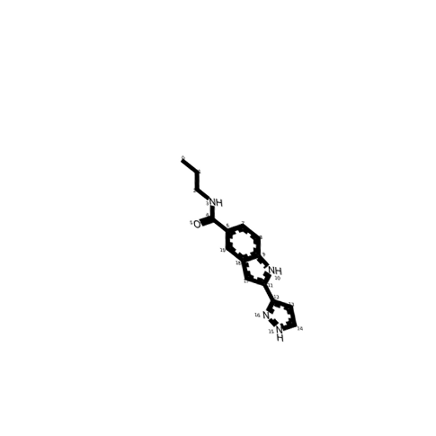 CCCNC(=O)c1ccc2[nH]c(-c3cc[nH]n3)cc2c1